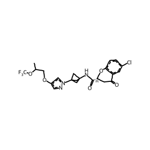 CC(COc1cnn(C23CC(NC(=O)[C@H]4CC(=O)c5cc(Cl)ccc5O4)(C2)C3)c1)OC(F)(F)F